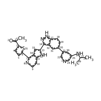 CC(=O)c1ccc(-c2nccc3[nH]c(-c4n[nH]c5ccc(-c6cncc(NC(C)C)c6)cc45)cc23)s1